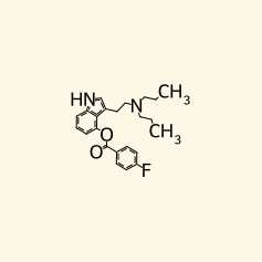 CCCN(CCC)CCc1c[nH]c2cccc(OC(=O)c3ccc(F)cc3)c12